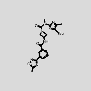 Cc1nc(-c2cccc(C(=O)NC3CN(C(=O)N(C)c4nc(C)c(C(C)(C)C)s4)C3)c2)no1